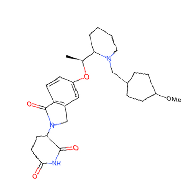 COC1CCC(CN2CCCCC2[C@H](C)Oc2ccc3c(c2)CN(C2CCC(=O)NC2=O)C3=O)CC1